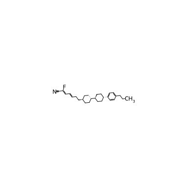 CCCc1ccc([C@H]2CC[C@H]([C@H]3CC[C@H](CCC=CC=C(F)C#N)CC3)CC2)cc1